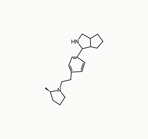 C[C@@H]1CCCN1CCc1ccc(C2NCC3CCCC32)cc1